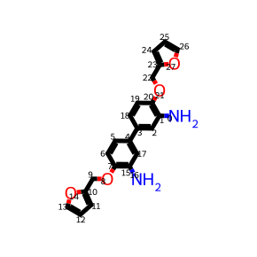 Nc1cc(-c2ccc(OCc3ccco3)c(N)c2)ccc1OCc1ccco1